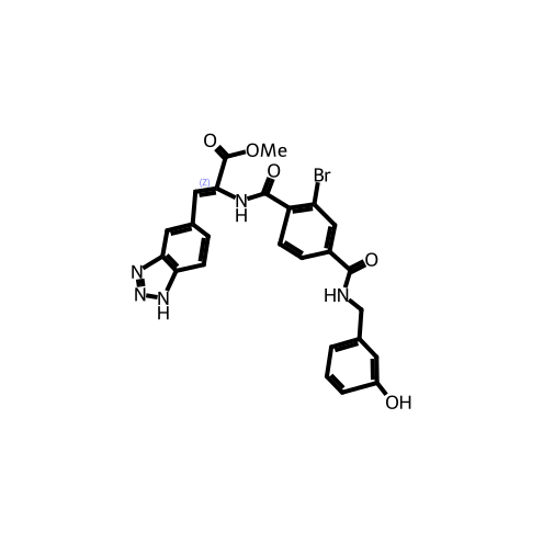 COC(=O)/C(=C/c1ccc2[nH]nnc2c1)NC(=O)c1ccc(C(=O)NCc2cccc(O)c2)cc1Br